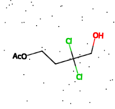 CC(=O)OCCC(Cl)(Cl)CO